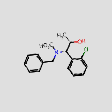 C[C@H](O)[C@H](c1ccccc1Cl)N(Cc1ccccc1)C(=O)O